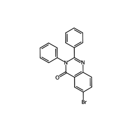 O=c1c2cc(Br)ccc2nc(-c2ccccc2)n1-c1ccccc1